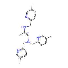 C/C(=C\N(Cc1ccc(C)cn1)Cc1ccc(C)cn1)NCc1ccc(C)cn1